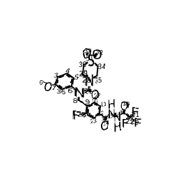 COc1cccc(N(Cc2ccc(C(=O)NNC(=O)C(F)(F)F)cc2F)C(=O)N2CCS(=O)(=O)CC2)c1